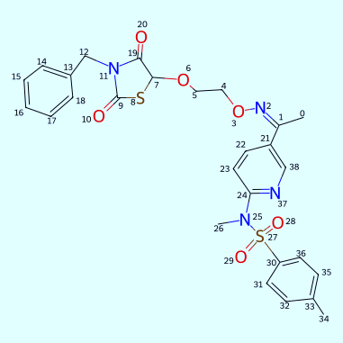 CC(=NOCCOC1SC(=O)N(Cc2ccccc2)C1=O)c1ccc(N(C)S(=O)(=O)c2ccc(C)cc2)nc1